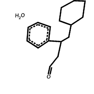 O.O=CCC(CC1CCCCC1)c1ccccc1